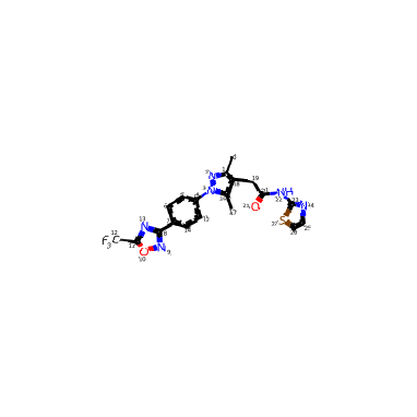 Cc1nn(-c2ccc(-c3noc(C(F)(F)F)n3)cc2)c(C)c1CC(=O)Nc1nccs1